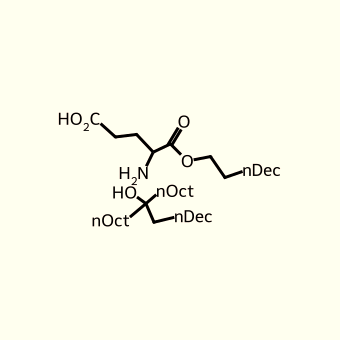 CCCCCCCCCCCC(O)(CCCCCCCC)CCCCCCCC.CCCCCCCCCCCCOC(=O)C(N)CCC(=O)O